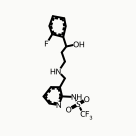 O=S(=O)(Nc1ncccc1CNCCC(O)c1ccccc1F)C(F)(F)F